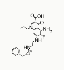 CCCn1cc(C(=O)O)c(=O)c2c(N)c(F)c(NCCN[C@H]3CC3Cc3ccccc3)cc21